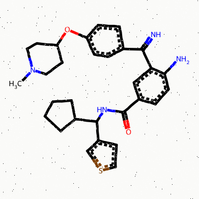 CN1CCC(Oc2ccc(C(=N)c3cc(C(=O)NC(c4ccsc4)C4CCCC4)ccc3N)cc2)CC1